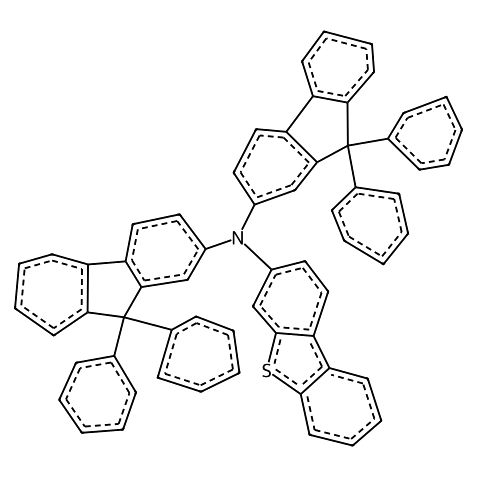 c1ccc(C2(c3ccccc3)c3ccccc3-c3ccc(N(c4ccc5c(c4)C(c4ccccc4)(c4ccccc4)c4ccccc4-5)c4ccc5c(c4)sc4ccccc45)cc32)cc1